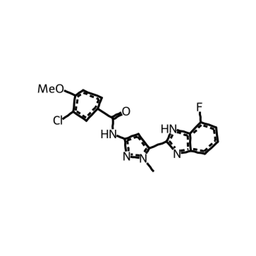 COc1ccc(C(=O)Nc2cc(-c3nc4cccc(F)c4[nH]3)n(C)n2)cc1Cl